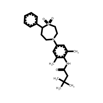 Cc1cc(N2CCC(c3ccccc3)S(=O)(=O)CC2)cc(C)c1NC(=O)CC(C)(C)C